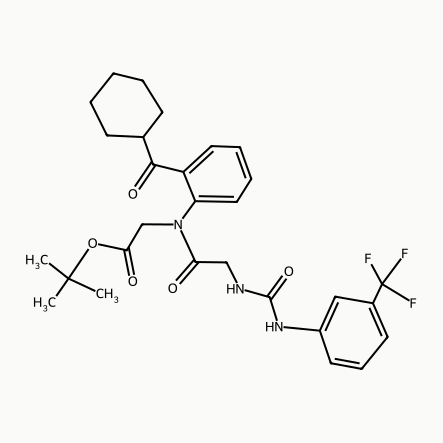 CC(C)(C)OC(=O)CN(C(=O)CNC(=O)Nc1cccc(C(F)(F)F)c1)c1ccccc1C(=O)C1CCCCC1